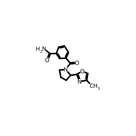 Cc1coc(C2CCCN2C(=O)c2cccc(C(N)=O)c2)n1